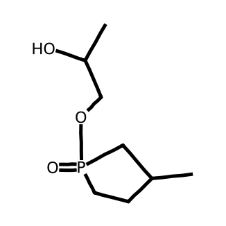 CC(O)COP1(=O)CCC(C)C1